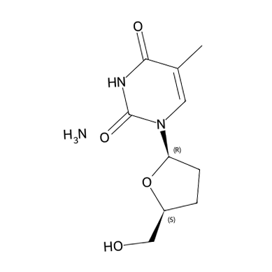 Cc1cn([C@H]2CC[C@@H](CO)O2)c(=O)[nH]c1=O.N